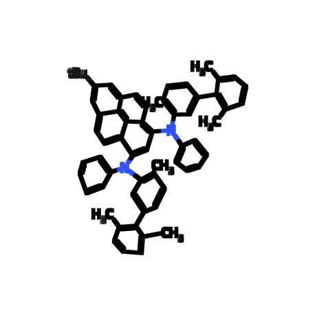 Cc1ccc(-c2c(C)cccc2C)cc1N(c1ccccc1)c1cc(N(c2ccccc2)c2cc(-c3c(C)cccc3C)ccc2C)c2ccc3cc(C(C)(C)C)cc4ccc1c2c43